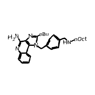 CCCCCCCCNCc1ccc(Cn2c(CCCC)nc3c(N)nc4ccccc4c32)cc1